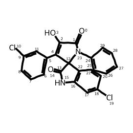 O=C1C(O)=C(c2cccc(Cl)c2)C2(C(=O)Nc3cc(Cl)ccc32)N1c1ccccc1